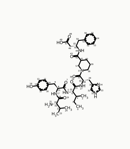 CCC(C)[C@H](NC(=O)[C@H](Cc1ccc(O)cc1)NC(=O)[C@@H](N)C(C)C)C(=O)N[C@@H](Cc1c[nH]cn1)C(=O)N1CCCC(C(=O)N[C@H](CC(=O)O)Cc2ccccc2)C1